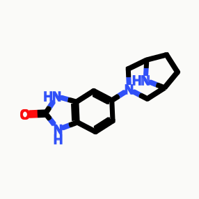 O=c1[nH]c2ccc(N3CC4CCC(C3)N4)cc2[nH]1